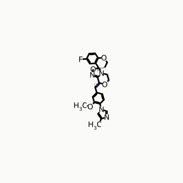 COc1cc(/C=C2\OCCN3C2=NO[C@]32CCOc3ccc(F)cc32)ccc1-n1cnc(C)c1